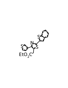 CCOC(=O)Cc1sc(-c2cc3ccccc3s2)nc1-c1ccsc1